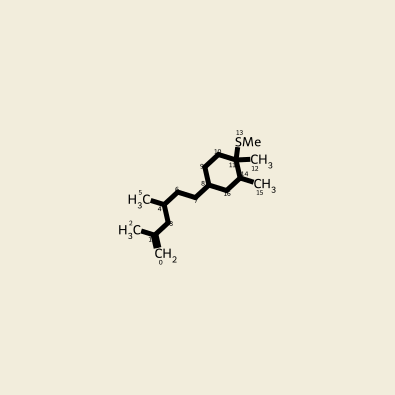 C=C(C)CC(C)CCC1CCC(C)(SC)C(C)C1